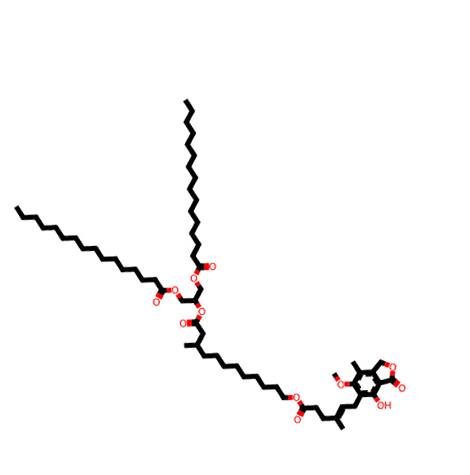 CCCCCCCCCCCCCCCC(=O)OCC(COC(=O)CCCCCCCCCCCCCCC)OC(=O)CC(C)CCCCCCCCCOC(=O)CC/C(C)=C/Cc1c(O)c2c(c(C)c1OC)COC2=O